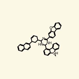 C[SiH]1c2ccccc2-c2c(C3NC(c4ccc5c(c4)oc4ccccc45)=NC(C4CC=CC(c5ccc6ccccc6c5)C4)N3)cccc21